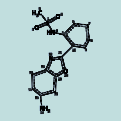 CS(=O)(=O)Nc1ccccc1-c1nc2ccc(N)cc2o1